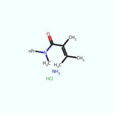 CCCN(C)C(=O)C(C)=C(C)C.Cl.N